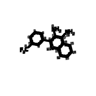 Nc1c(-c2cccc(C(F)(F)F)c2)nc2ccccc2c1N